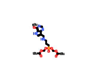 CCCCOc1ncnc2c(CNCCCP(=O)(OCOC(=O)C(C)(C)C)OCOC(=O)C(C)(C)C)c[nH]c12